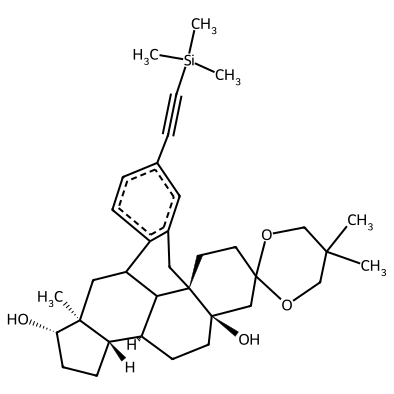 CC1(C)COC2(CC[C@@]34Cc5cc(C#C[Si](C)(C)C)ccc5C5C[C@]6(C)[C@@H](O)CC[C@H]6[C@H](CC[C@@]3(O)C2)C54)OC1